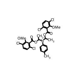 COc1c(Cl)ccc(Cl)c1C(=O)OC(C)N(c1ccc(C)cc1)C(C)OC(=O)c1c(Cl)ccc(Cl)c1OC